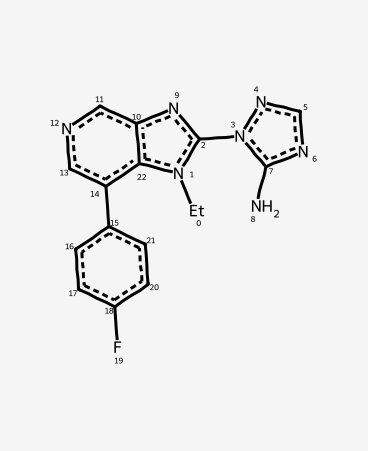 CCn1c(-n2ncnc2N)nc2cncc(-c3ccc(F)cc3)c21